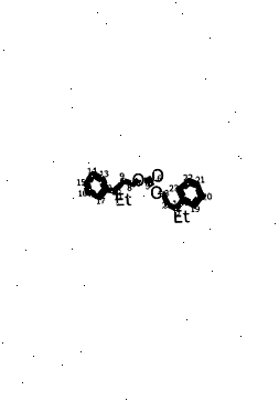 CCC(CCOC(=O)OCCC(CC)c1ccccc1)c1ccccc1